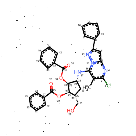 Cc1c(Cl)nc2cc(-c3ccccc3)nn2c1N[C@@H]1C[C@H](CO)[C@@H](OC(=O)c2ccccc2)[C@H]1OC(=O)c1ccccc1